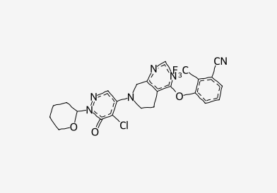 N#Cc1cccc(Oc2ncnc3c2CCN(c2cnn(C4CCCCO4)c(=O)c2Cl)C3)c1C(F)(F)F